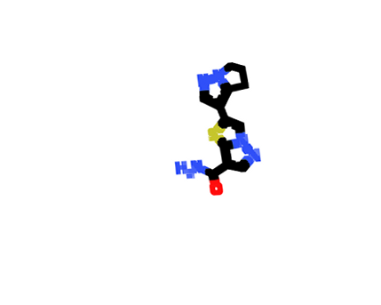 NC(=O)c1cnn2cc(-c3cnn4c3CCC4)sc12